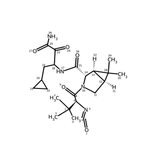 CC(C)(C)[C@H](N=C=O)C(=O)N1C[C@H]2[C@@H]([C@H]1C(=O)NC(CC1CC1)C(=O)C(N)=O)C2(C)C